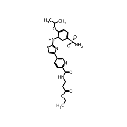 CCOC(=O)CCNC(=O)c1ccc(-c2csc(NC3CC(S(N)(=O)=O)=CC=C3OC(C)C)n2)cn1